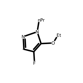 CCCn1n[c]c(F)c1OCC